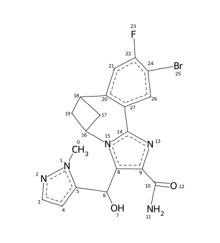 Cn1nccc1C(O)c1c(C(N)=O)nc2n1C1CC(C1)c1cc(F)c(Br)cc1-2